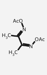 CC(=O)ON=C(C)C(C)=NOC(C)=O